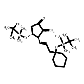 C=C1C(=O)C[C@@H](O[Si](C)(C)C(C)(C)C)[C@@H]1C=CCC1(O[Si](C)(C)C(C)(C)C)CCCCC1